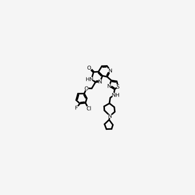 O=c1[nH]c(COc2ccc(F)c(Cl)c2)nc2c(-c3csc(NCC4CCN(C5CCCC5)CC4)n3)nccc12